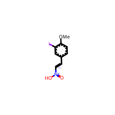 COc1ccc(/C=C/[N+](=O)O)cc1I